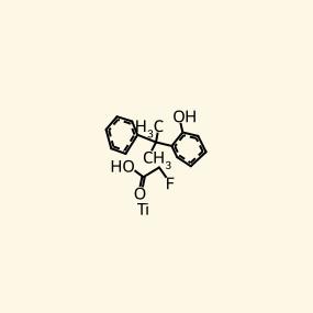 CC(C)(c1ccccc1)c1ccccc1O.O=C(O)CF.[Ti]